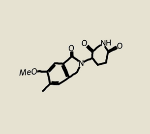 COc1cc2c(cc1C)CN(C1CCC(=O)NC1=O)C2=O